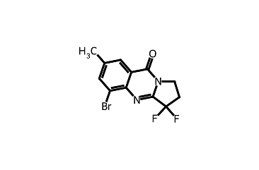 Cc1cc(Br)c2nc3n(c(=O)c2c1)CCC3(F)F